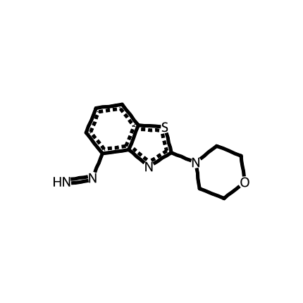 N=Nc1cccc2sc(N3CCOCC3)nc12